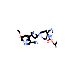 CCOc1cc(-c2ccc(N3CCC(CN(C)C)(NC(=O)OCC(C)C)CC3)nc2)c2c(C#N)cnn2c1